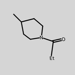 [CH2]CC(=O)N1CCC(C)CC1